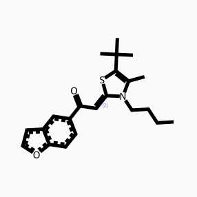 CCCCN1C(C)=C(C(C)(C)C)S/C1=C\C(=O)c1ccc2occc2c1